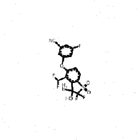 BC1(O)c2c(ccc(Oc3cc(F)cc(C#N)c3)c2C(F)F)S(=O)(=O)C1(F)F